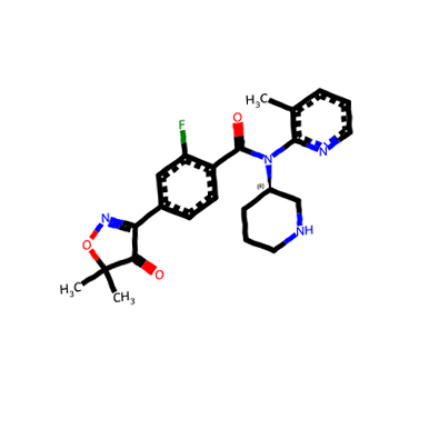 Cc1cccnc1N(C(=O)c1ccc(C2=NOC(C)(C)C2=O)cc1F)[C@@H]1CCCNC1